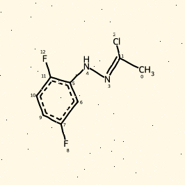 C/C(Cl)=N/Nc1cc(F)ccc1F